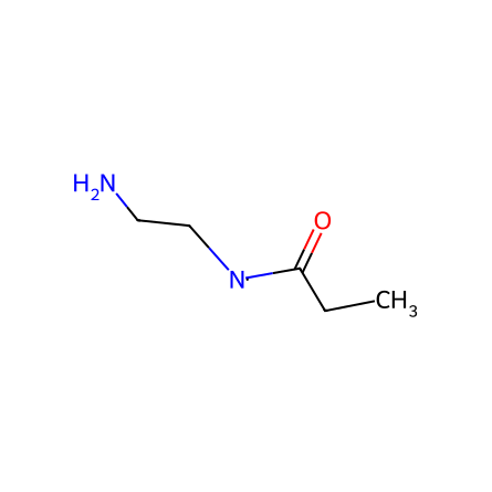 CCC(=O)[N]CCN